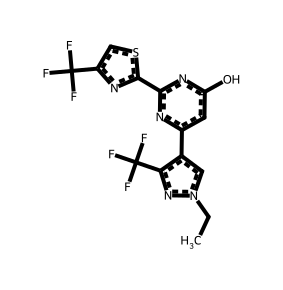 CCn1cc(-c2cc(O)nc(-c3nc(C(F)(F)F)cs3)n2)c(C(F)(F)F)n1